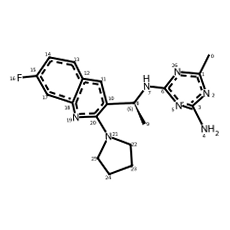 Cc1nc(N)nc(N[C@@H](C)c2cc3ccc(F)cc3nc2N2CCCC2)n1